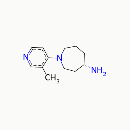 Cc1cnccc1N1CCC[C@H](N)CC1